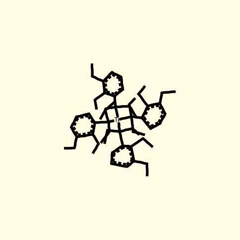 CCc1cccc([C](CC)(CC)[Ti]([C](CC)(CC)c2cccc(CC)c2CC)([C](CC)(CC)c2cccc(CC)c2CC)[C](CC)(CC)c2cccc(CC)c2CC)c1CC